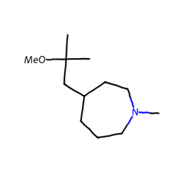 COC(C)(C)CC1CCCN(C)CC1